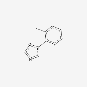 Cc1ccc[c]c1-c1cnco1